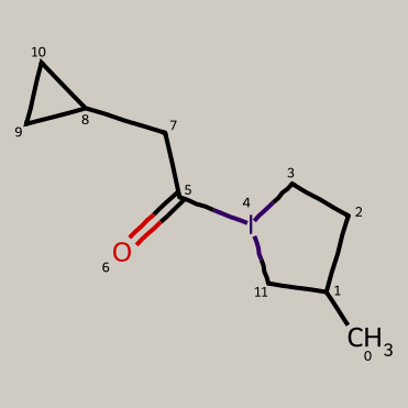 CC1CCI(C(=O)CC2CC2)C1